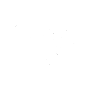 CCCC1CC(=O)C2=C(C1)NC(C)=C(C#N)C2c1cc(Br)c(NCCOC)c(S(=O)(=O)N2CCOCC2)c1